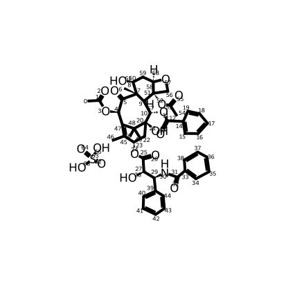 CC(=O)O[C@H]1C(=O)[C@@]2(C)[C@H]([C@H](OC(=O)c3ccccc3)[C@]3(O)C[C@H](OC(=O)[C@H](O)[C@@H](NC(=O)c4ccccc4)c4ccccc4)C(C)=C1C3(C)C)[C@]1(OC(C)=O)CO[C@@H]1C[C@@H]2O.O=S(=O)(O)O